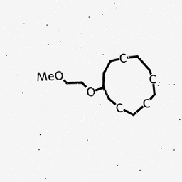 COCCOC1CCCCCCCCCCC1